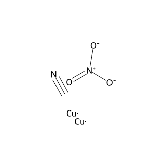 C#N.O=[N+]([O-])[O-].[Cu].[Cu]